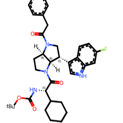 CC(C)(C)OC(=O)N[C@H](C(=O)N1CC[C@@H]2[C@H]1[C@@H](c1c[nH]c3cc(F)ccc13)CN2C(=O)Cc1ccccc1)C1CCCCC1